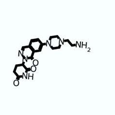 NCCN1CCN(c2ccc3cnn(C4CCC(=O)NC4=O)c(=O)c3c2)CC1